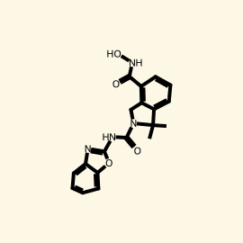 CC1(C)c2cccc(C(=O)NO)c2CN1C(=O)Nc1nc2ccccc2o1